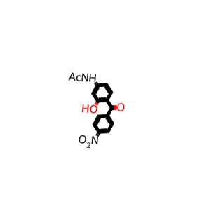 CC(=O)Nc1ccc(C(=O)c2ccc([N+](=O)[O-])cc2)c(O)c1